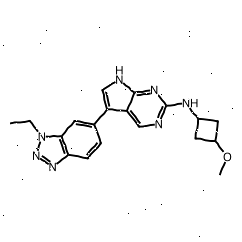 CCn1nnc2ccc(-c3c[nH]c4nc(NC5CC(OC)C5)ncc34)cc21